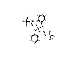 CCC(C)(C)[SiH2]OCC(CO[SiH2]C(C)(C)CC)(Cc1ccccc1)Cc1ccccc1